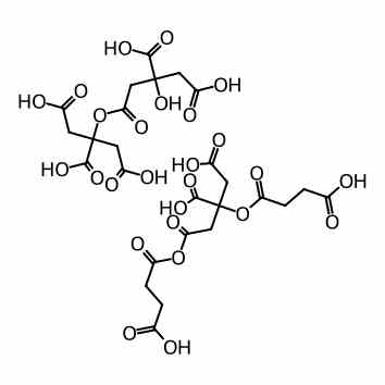 O=C(O)CC(O)(CC(=O)OC(CC(=O)O)(CC(=O)O)C(=O)O)C(=O)O.O=C(O)CCC(=O)OC(=O)CC(CC(=O)O)(OC(=O)CCC(=O)O)C(=O)O